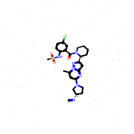 C=N[C@H]1CCN(c2cc(C)n3nc([C@@H]4CCCCN4C(=O)c4cc(Cl)ccc4NS(C)(=O)=O)cc3n2)C1